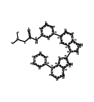 CC(C)CC(=O)Nc1cncc(-c2cc3c(-c4cc5c(-c6cccnc6)ccnc5[nH]4)n[nH]c3cn2)c1